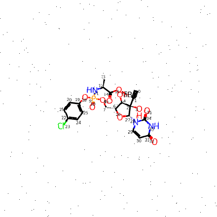 C#C[C@@]1(O)[C@H](O)[C@@H](COP(=O)(N[C@@H](C)C(=O)OC(C)CC)Oc2ccc(Cl)cc2)O[C@H]1n1ccc(=O)[nH]c1=O